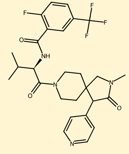 CC(C)[C@@H](NC(=O)c1cc(C(F)(F)F)ccc1F)C(=O)N1CCC2(CC1)CN(C)C(=O)C2c1ccncc1